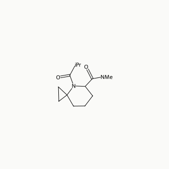 CNC(=O)C1CCCC2(CC2)N1C(=O)C(C)C